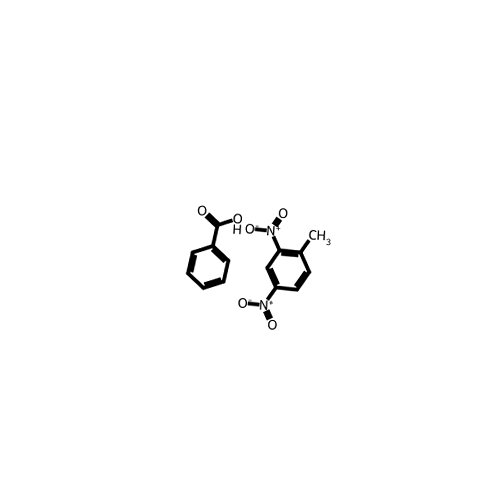 Cc1ccc([N+](=O)[O-])cc1[N+](=O)[O-].O=C(O)c1ccccc1